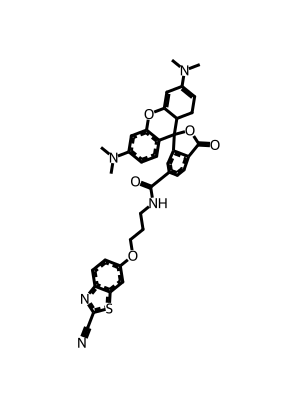 CN(C)C1=CCC2C(=C1)Oc1cc(N(C)C)ccc1C21OC(=O)c2ccc(C(=O)NCCCOc3ccc4nc(C#N)sc4c3)cc21